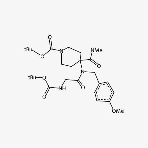 CNC(=O)C1(N(Cc2ccc(OC)cc2)C(=O)CNC(=O)OC(C)(C)C)CCN(C(=O)OC(C)(C)C)CC1